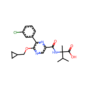 CC(C)C(C)(NC(=O)c1cnc(OCC2CC2)c(-c2cccc(Cl)c2)n1)C(=O)O